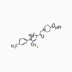 C=C(/C=C(/C)N(CC)c1ccc(C)cc1)C(=O)CN1CCC(OCCC)CC1